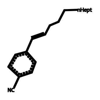 CCCCCCCCCC/C=C/c1ccc(C#N)cc1